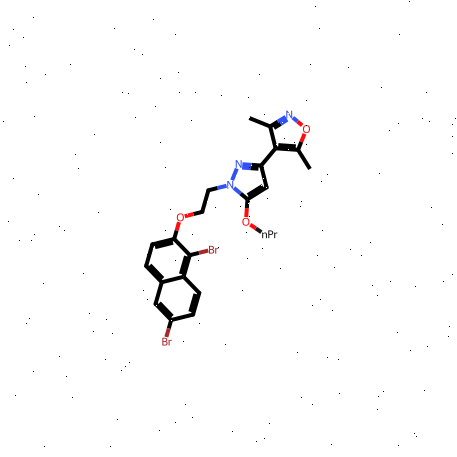 CCCOc1cc(-c2c(C)noc2C)nn1CCOc1ccc2cc(Br)ccc2c1Br